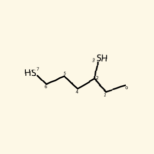 CCC(S)CCCS